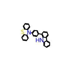 c1ccc2c(c1)Sc1ccccc1N2c1ccc(-c2cccc3c2[nH]c2ccccc23)cc1